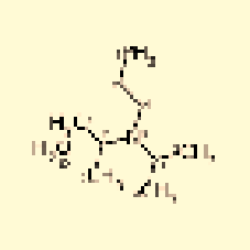 CC(C)N(CCP)C(C)C.O